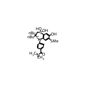 CCCCC1(CCCC)CN(c2ccc(C(=O)N(C)C)cc2)c2cc(SC)c(O)cc2S(O)(O)C1